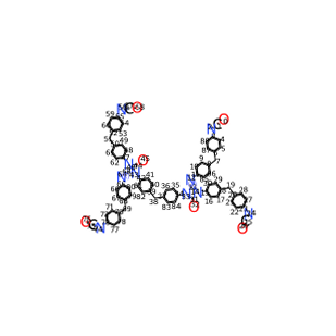 O=C=Nc1ccc(Cc2ccc(/N=C3\N(c4ccc(Cc5ccc(N=C=O)cc5)cc4)C(=O)N3c3ccc(Cc4ccc(N5C(=O)N(c6ccc(Cc7ccc(N=C=O)cc7)cc6)/C5=N/c5ccc(Cc6ccc(N=C=O)cc6)cc5)cc4)cc3)cc2)cc1